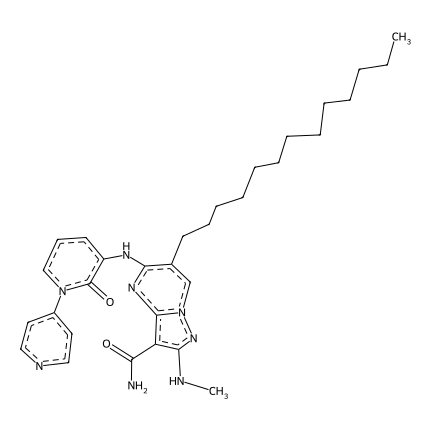 CCCCCCCCCCCCCc1cn2nc(NC)c(C(N)=O)c2nc1Nc1cccn(-c2ccncc2)c1=O